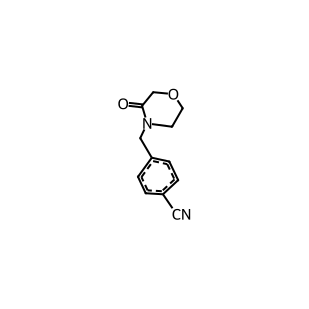 N#Cc1ccc(CN2CCOCC2=O)cc1